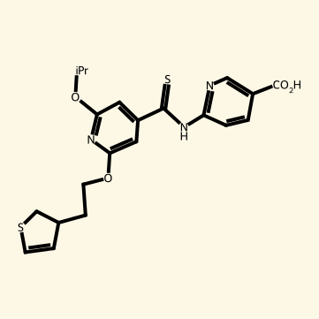 CC(C)Oc1cc(C(=S)Nc2ccc(C(=O)O)cn2)cc(OCCC2C=CSC2)n1